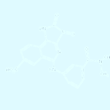 CN(C)C(=O)c1cccc(Nc2nc3c(c4ccc(C(=O)O)cc24)NC(=O)C3=O)c1